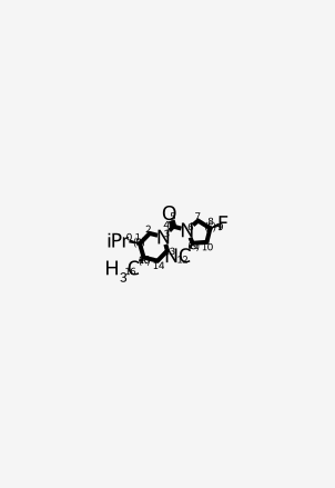 CC(C)[C@H]1CN(C(=O)N2C[C@@H](F)C[C@H]2C#N)CC[C@H]1C